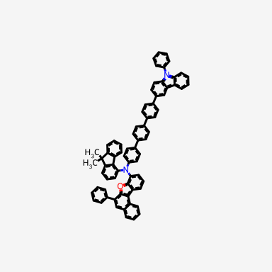 CC1(C)c2ccccc2-c2c(N(c3ccc(-c4ccc(-c5ccc(-c6ccc7c(c6)c6ccccc6n7-c6ccccc6)cc5)cc4)cc3)c3cccc4c3oc3c(-c5ccccc5)cc5ccccc5c34)cccc21